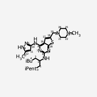 CCCC(C)CC(CC(C)CC)Nc1nc(Nc2cc(C)[nH]n2)c2cc(CN3CCN(C)CC3)sc2n1